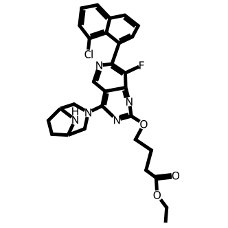 CCOC(=O)CCCOc1nc(N2CC3CCC(C2)N3)c2cnc(-c3cccc4cccc(Cl)c34)c(F)c2n1